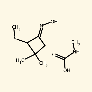 CNC(=O)O.CSC1C(=NO)CC1(C)C